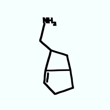 NCC1CC2CCC=C12